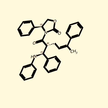 CC(=CC[C@@H](C(=O)N1C(=O)OC[C@@H]1c1ccccc1)[C@H](Nc1ccccc1)c1ccccc1)c1ccccc1